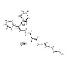 CCCCCCCCCCCCC=C(c1ccccc1)c1ccccc1.[NaH]